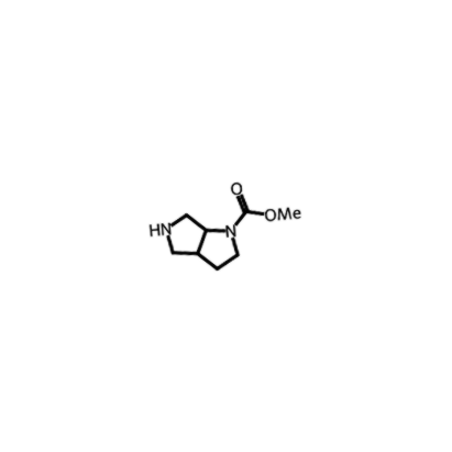 COC(=O)N1CCC2CNCC21